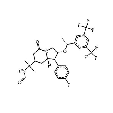 C[C@@H](O[C@H]1CN2C(=O)CC(C(C)(C)NC=O)C[C@H]2C1c1ccc(F)cc1)c1cc(C(F)(F)F)cc(C(F)(F)F)c1